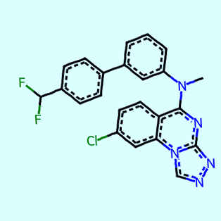 CN(c1cccc(-c2ccc(C(F)F)cc2)c1)c1nc2nncn2c2cc(Cl)ccc12